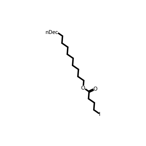 CCCCCCCCCCCCCCCCCCCOC(=O)CCCI